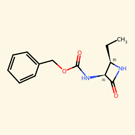 CC[C@H]1NC(=O)[C@H]1NC(=O)OCc1ccccc1